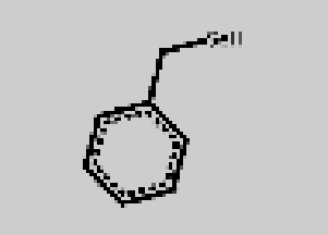 [SeH]Cc1c[c]ccc1